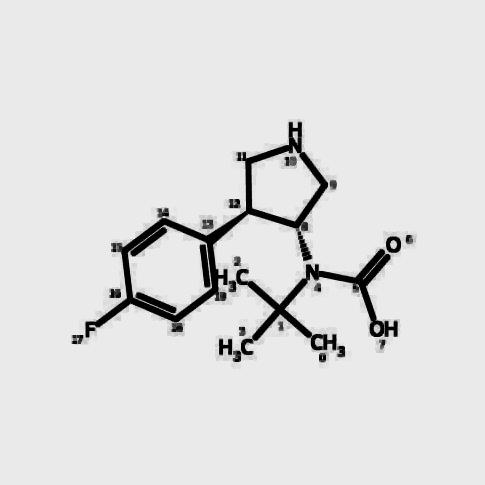 CC(C)(C)N(C(=O)O)[C@H]1CNC[C@@H]1c1ccc(F)cc1